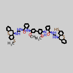 COc1cc(-c2ccc(Nc3ccccc3C(=O)NCCNC3CC4C=CC=CC4SC4C=CC(SC)=CC34)c(OC)c2)ccc1Nc1ccccc1C(=O)NCCNC1CC2C=CC=CC2SC2C=CC(S)=CC12